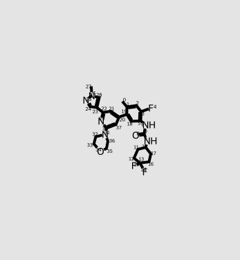 Cc1cc(F)c(NC(=O)NC2CCC(F)(F)CC2)cc1-c1cc(-c2cnn(C)c2)nc(N2CCOCC2)c1